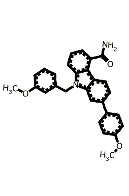 COc1ccc(-c2c[c]c3c4c(C(N)=O)cccc4n(Cc4cccc(OC)c4)c3c2)cc1